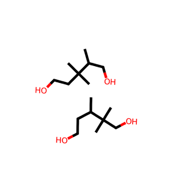 CC(CCO)C(C)(C)CO.CC(CO)C(C)(C)CCO